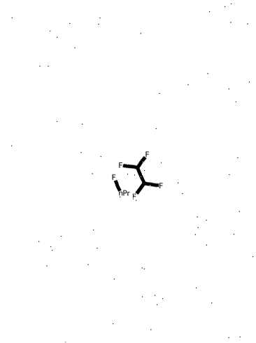 CCCF.FC(F)C(F)F